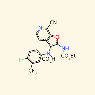 CCOC(=O)Nc1oc2c(C#N)nccc2c1N(C(=O)O)c1ccc(F)c(C(F)(F)F)c1